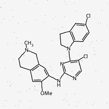 COc1cc2c(cc1Nc1ncc(Cl)c(N3CCc4cc(Cl)ccc43)n1)CN(C)CC2